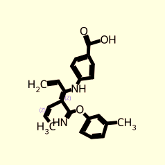 C=C/C(Nc1ccc(C(=O)O)cc1)=C(\C=C/C)C(=N)Oc1cccc(C)c1